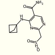 NC(=O)c1cnc(C[SH](=O)=O)nc1NC12CC(C1)C2